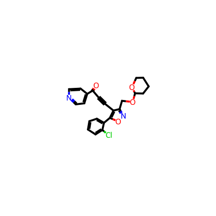 O=C(C#Cc1c(COC2CCCCO2)noc1-c1ccccc1Cl)c1ccncc1